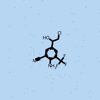 N#Cc1cc(C(O)CCl)cc(C(F)(F)F)c1N